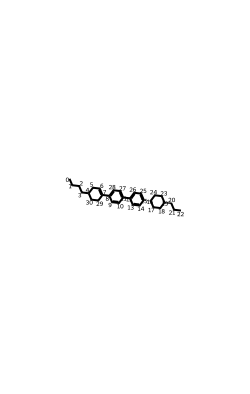 CCCCC1CC=C(c2ccc(-c3ccc([C@H]4CC[C@H](CCC)CC4)cc3)cc2)CC1